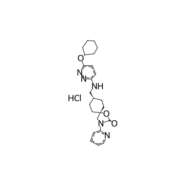 Cl.O=C1O[C@]2(CC[C@H](CNc3ccc(OC4CCCCC4)nn3)CC2)CN1c1ccccn1